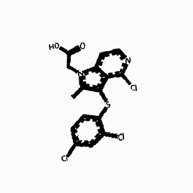 Cc1c(Sc2ccc(Cl)cc2Cl)c2c(Cl)nccc2n1CC(=O)O